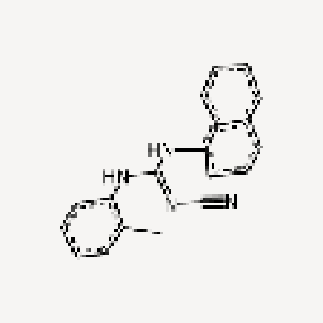 Cc1ccccc1NC(=NC#N)Nc1cccc2ccccc12